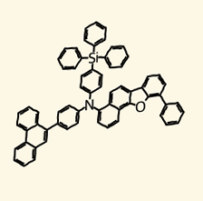 c1ccc(-c2cccc3c2oc2c4cccc(N(c5ccc(-c6cc7ccccc7c7ccccc67)cc5)c5ccc([Si](c6ccccc6)(c6ccccc6)c6ccccc6)cc5)c4ccc32)cc1